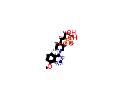 COc1cccc2c(N3CCC(CC(CO)P(=O)(O)O)CC3)ncnc12